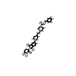 O=C1CCC(N2C(=O)c3ccc(N4CCC(CCN5CCN(C(=O)OCc6ccccc6)CC5)CC4)cc3C2=O)C(=O)N1